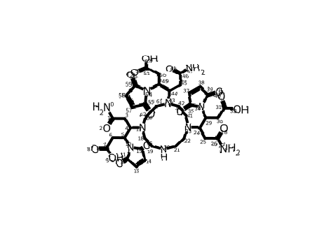 NC(=O)CC(C(CC(=O)O)N1C(=O)C=CC1=O)N1CCNCCN(C(CC(N)=O)C(CC(=O)O)N2C(=O)C=CC2=O)CCN(C(CC(N)=O)C(CC(=O)O)N2C(=O)C=CC2=O)CC1